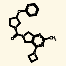 Cc1nc2c(c(N3CCC3)n1)CN(C(=O)N1CCC(Oc3ccccc3)C1)C2